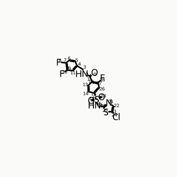 O=C(NCc1ccc(F)c(F)c1)c1ccc(S(=O)(=O)Nc2ncc(Cl)s2)cc1F